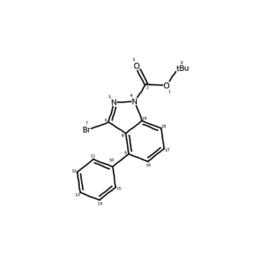 CC(C)(C)OC(=O)n1nc(Br)c2c(-c3ccccc3)cccc21